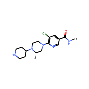 CCNC(=O)c1cnc(N2CCN(C3CCNCC3)[C@@H](C)C2)c(Cl)c1